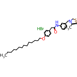 Br.CCCCCCCCCCCCCCOc1ccc(CC(=O)Nc2cccc(CN3CSC=C3C)c2)cc1